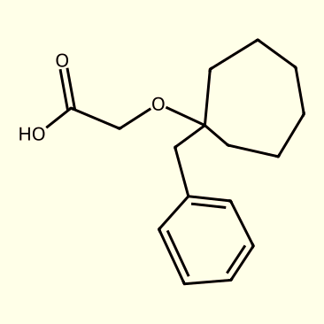 O=C(O)COC1(Cc2ccccc2)CCCCCC1